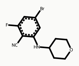 N#Cc1c(F)cc(Br)cc1NC1CCOCC1